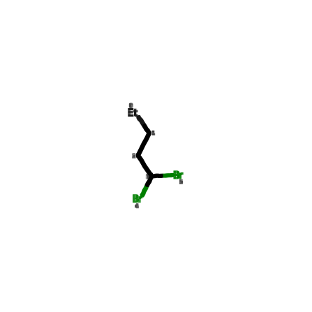 CCCC[C](Br)Br